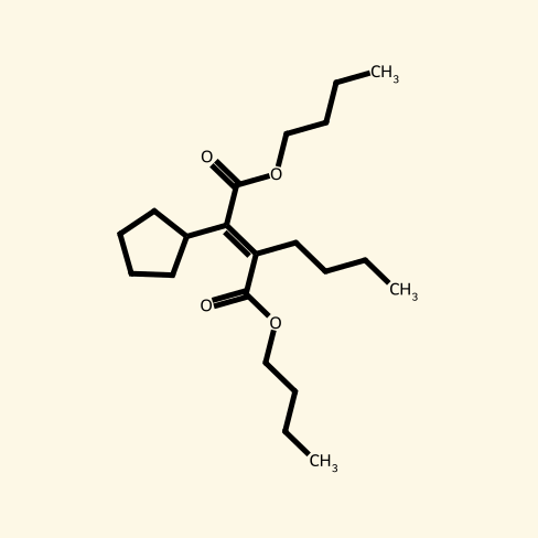 CCCCOC(=O)C(CCCC)=C(C(=O)OCCCC)C1CCCC1